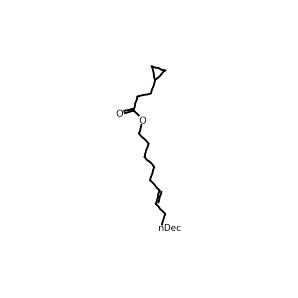 CCCCCCCCCCCC=CCCCCCOC(=O)CCC1CC1